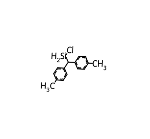 Cc1ccc(C([SiH2]Cl)c2ccc(C)cc2)cc1